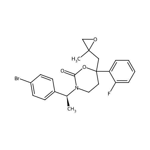 C[C@@H](c1ccc(Br)cc1)N1CCC(CC2(C)CO2)(c2ccccc2F)OC1=O